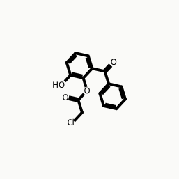 O=C(CCl)Oc1c(O)cccc1C(=O)c1ccccc1